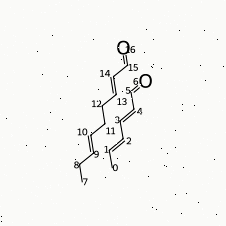 CC=CC=CC=O.CCC=CCCC=CC=O